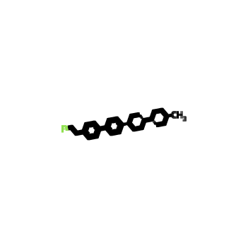 C[C@H]1CC[C@H]([C@H]2CC[C@H](c3ccc(-c4ccc(CCF)cc4)cc3)CC2)CC1